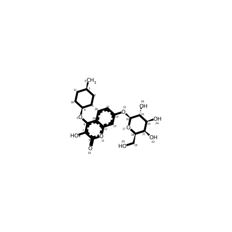 C[C@H]1CC[C@@H](Oc2c(O)c(=O)oc3cc(O[C@@H]4O[C@H](CO)[C@H](O)[C@H](O)[C@H]4O)ccc23)CC1